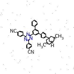 C[C@@H]1C[C@@H]2C[C@H](C)CC(c3ccc(-c4cc(-c5ccccc5)cc(-c5nc(-c6ccc(C#N)cc6)nc(-c6ccc(C#N)cc6)n5)c4)cc3)(C1)C2